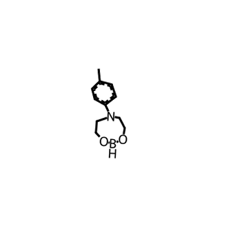 Cc1ccc(N2CCOBOCC2)cc1